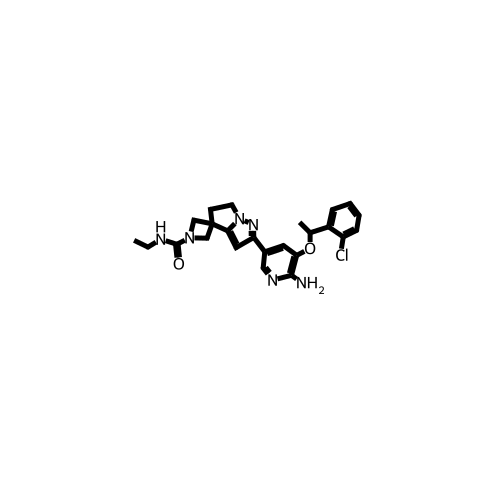 CCNC(=O)N1CC2(CCn3nc(-c4cnc(N)c(OC(C)c5ccccc5Cl)c4)cc32)C1